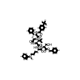 CC(C)C[C@H](NC(=O)[C@H](C)NC(=O)[C@H](Cc1ccccc1)NC(=O)c1ccc(C(C)(C)C)cc1)C(=O)N[C@@H](CCCCN(C)C1CC2CCC1C2)C(=O)N[C@@H](CO)C(=O)OCc1ccccc1